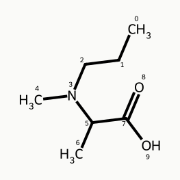 CCCN(C)C(C)C(=O)O